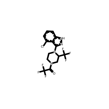 O=C(N1CCN(c2n[nH]c3cccc(Cl)c23)C(C(F)(F)F)C1)C(F)(F)F